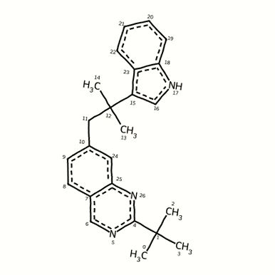 CC(C)(C)c1ncc2ccc(CC(C)(C)c3c[nH]c4ccccc34)cc2n1